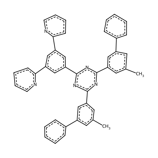 Cc1cc(-c2ccccc2)cc(-c2nc(-c3cc(C)cc(-c4ccccc4)c3)nc(-c3cc(-c4ccccn4)cc(-c4ccccn4)c3)n2)c1